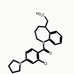 O=C(O)CC1CCCN(C(=O)c2ccc(N3CCCC3)cc2Cl)c2ccccc21